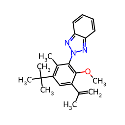 C=C(C)c1cc(C(C)(C)C)c(C)c(-n2nc3ccccc3n2)c1OC